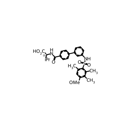 COc1cc(C)c(S(=O)(=O)Nc2cccc(-c3ccc(C(=O)N[C@H](C(=O)O)C(C)C)cc3)c2)c(C)c1C